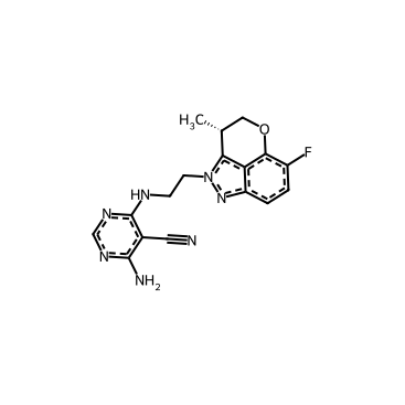 C[C@@H]1COc2c(F)ccc3nn(CCNc4ncnc(N)c4C#N)c1c23